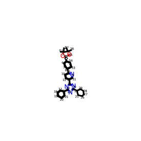 CC1(C)OB(c2ccc(-c3ccc(-c4nc(-c5ccccc5)nc(C5CCCCC5)n4)cn3)cc2)OC1(C)C